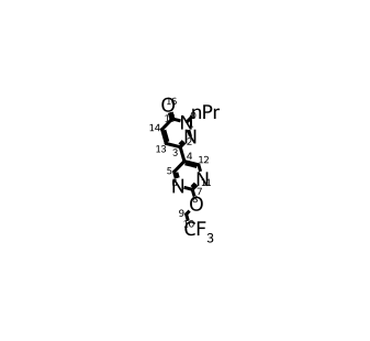 CCCn1nc(-c2cnc(OCC(F)(F)F)nc2)ccc1=O